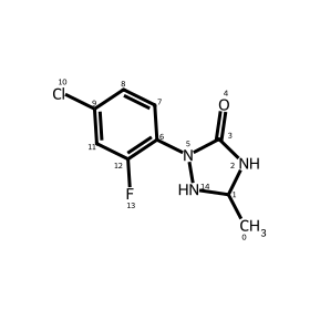 CC1NC(=O)N(c2ccc(Cl)cc2F)N1